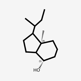 CCC(C)C1CCC2[C@@H](O)CCC[C@]12C